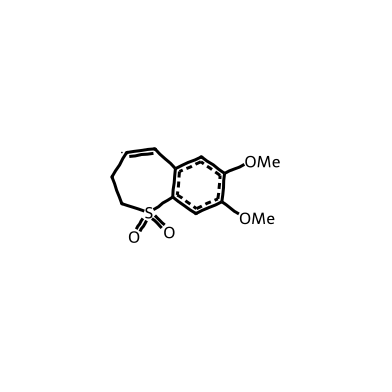 COc1cc2c(cc1OC)S(=O)(=O)CC[C]=C2